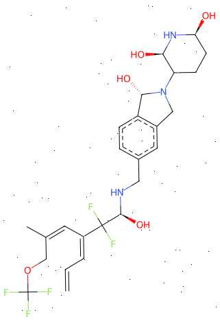 C=C/C=C(\C=C(\C)COC(F)(F)F)C(F)(F)[C@H](O)NCc1ccc2c(c1)CN(C1CC[C@H](O)N[C@@H]1O)[C@H]2O